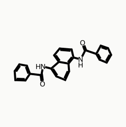 O=C(Nc1cccc2c(NC(=O)c3ccccc3)cccc12)c1ccccc1